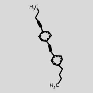 CCCC#Cc1ccc(C#Cc2ccc(CCCC)cc2)cc1